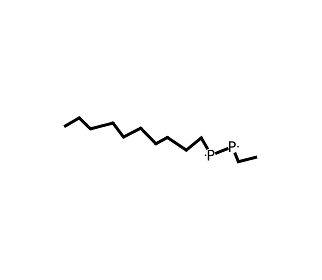 CCCCCCCCCC[P][P]CC